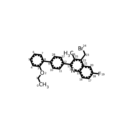 CCOc1ccccc1-c1ccc(-c2nc3ccc(F)cc3c(CBr)c2C)cc1